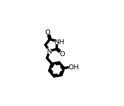 O=C1CN(Cc2cccc(O)c2)C(=O)N1